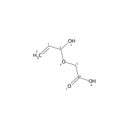 C=CC(O)OCC(=O)O